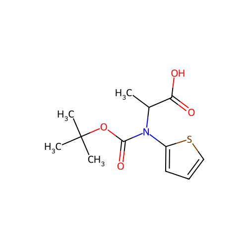 CC(C(=O)O)N(C(=O)OC(C)(C)C)c1cccs1